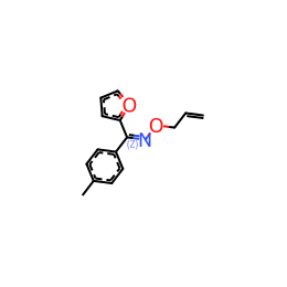 C=CCO/N=C(/c1ccc(C)cc1)c1ccco1